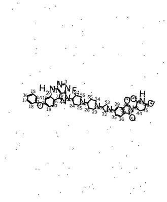 Nc1ncnc2c1c(-c1ccc(Oc3ccccc3)cc1)nn2[C@@H]1CCN(C2CCN(C3CN(c4ccc5c(c4)C(=O)N(C4CCC(=O)NC4=O)C5=O)C3)CC2)C[C@H]1F